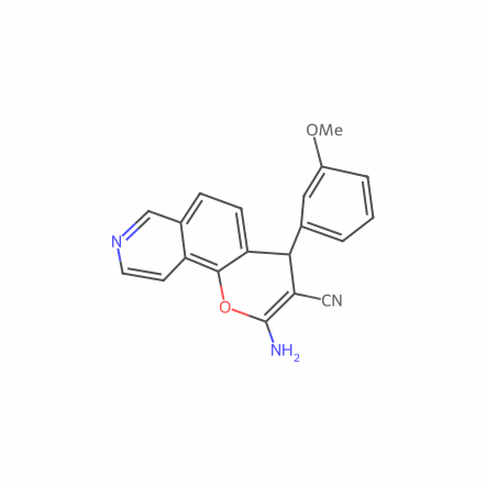 COc1cccc(C2C(C#N)=C(N)Oc3c2ccc2cnccc32)c1